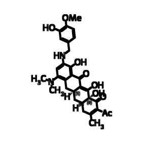 COc1ccc(CNc2cc(N(C)C)c3c(c2O)C(=O)C2=C(O)[C@@]4(O)C(=O)C(C(C)=O)=C(C)C[C@H]4C[C@H]2C3)cc1O